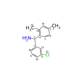 Cc1ccc(C(N)c2cccc(Cl)c2)c(C)c1